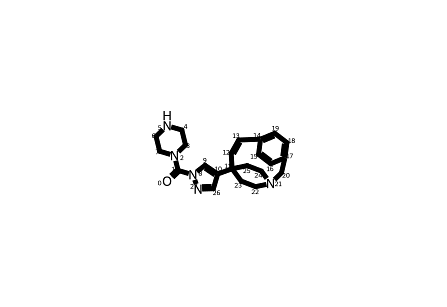 O=C(N1CCNCC1)n1cc(C23/C=C\c4ccc(cc4)CN(CC2)CC3)cn1